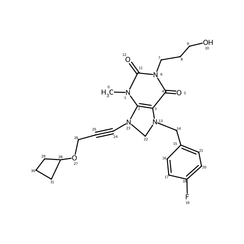 Cn1c2c(c(=O)n(CCCO)c1=O)N(Cc1ccc(F)cc1)CN2C#CCOC1CCC1